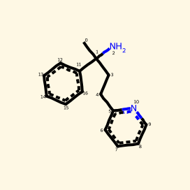 CC(N)(CCc1ccccn1)c1ccccc1